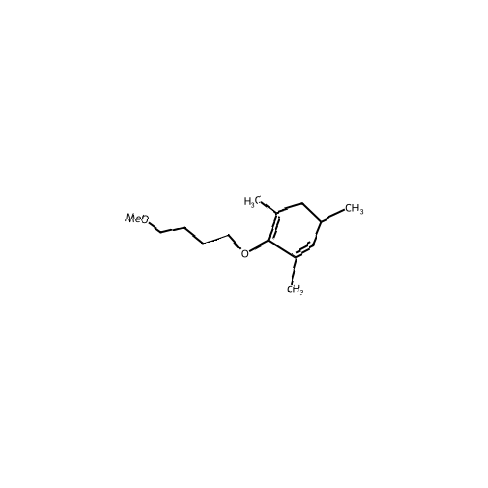 COCCCCOC1=C(C)CC(C)C=C1C